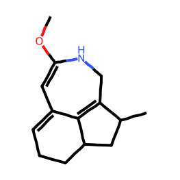 COC1=CC2=CCCC3CC(C)C(=C23)CN1